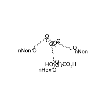 C=C(CC(=O)OC(CCCCCCCC(=CC)OC(COC(=O)CCCCCCCC1OC1CCCCCCCCC)COC(=O)CCCCCCCC1OC1CCCCCCCCC)C(O)CC1OC1CCCCCC)C(=O)O